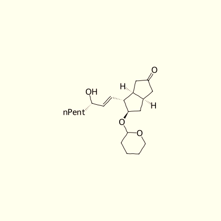 CCCCC[C@H](O)/C=C/[C@@H]1[C@H]2CC(=O)C[C@H]2C[C@H]1OC1CCCCO1